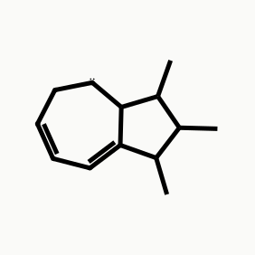 CC1C2=CC=CC[C]C2C(C)C1C